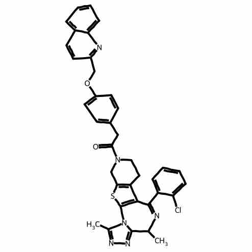 Cc1nnc2n1-c1sc3c(c1C(c1ccccc1Cl)=NC2C)CCN(C(=O)Cc1ccc(OCc2ccc4ccccc4n2)cc1)C3